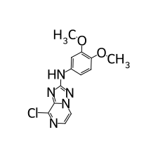 COc1ccc(Nc2nc3c(Cl)nccn3n2)cc1OC